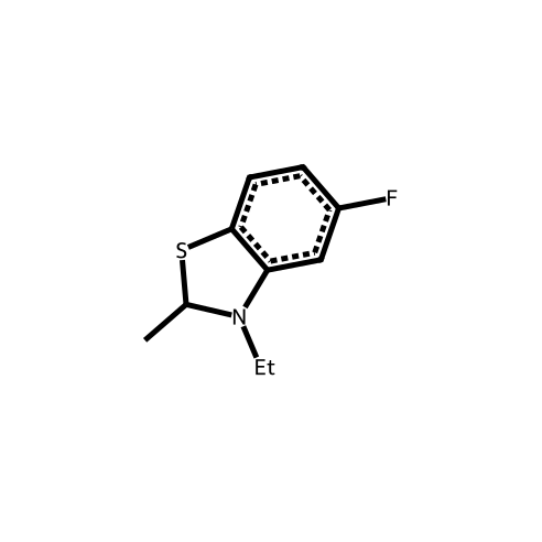 CCN1c2cc(F)ccc2SC1C